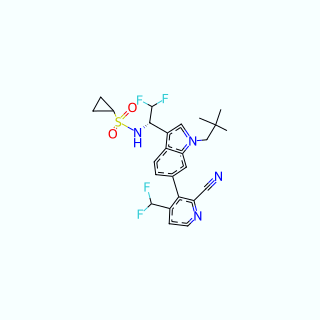 CC(C)(C)Cn1cc([C@H](NS(=O)(=O)C2CC2)C(F)F)c2ccc(-c3c(C(F)F)ccnc3C#N)cc21